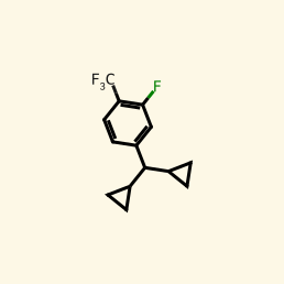 Fc1cc(C(C2CC2)C2CC2)ccc1C(F)(F)F